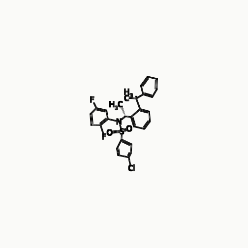 C[C](c1ccccc1)c1ccccc1[C@@H](C)N(c1cc(F)ccc1F)S(=O)(=O)c1ccc(Cl)cc1